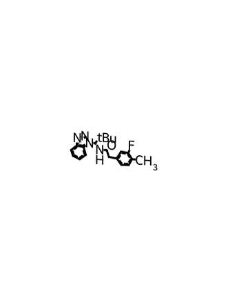 Cc1ccc(CC(=O)NC(n2nnc3ccccc32)C(C)(C)C)cc1F